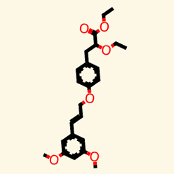 CCOC(=O)C(Cc1ccc(OCC=Cc2cc(OC)cc(OC)c2)cc1)OCC